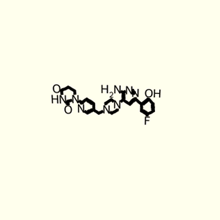 Nc1nnc(-c2cc(F)ccc2O)cc1N1CCN(Cc2ccc(N3CCC(=O)NC3=O)nc2)CC1